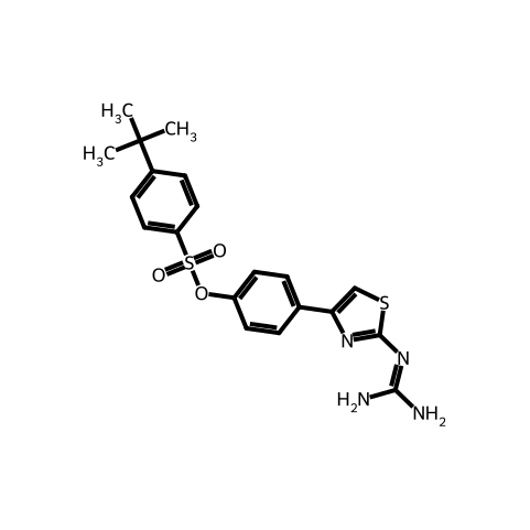 CC(C)(C)c1ccc(S(=O)(=O)Oc2ccc(-c3csc(N=C(N)N)n3)cc2)cc1